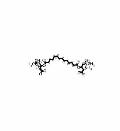 C[N+](C)(C)CC(CC(=O)[O-])OC(=O)CCC/C=C\CCCCCCCC(=O)OC(CC(=O)[O-])C[N+](C)(C)C